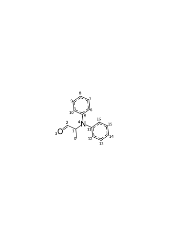 CC(C=O)N(c1ccccc1)c1ccccc1